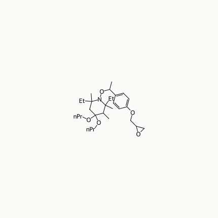 CCCOC1(OCCC)CC(C)(CC)N(OC(C)c2ccc(OCC3CO3)cc2)C(C)(CC)C1C